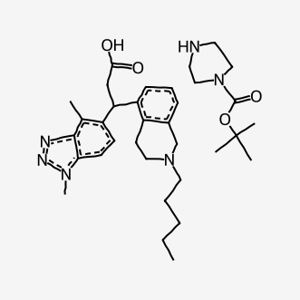 CC(C)(C)OC(=O)N1CCNCC1.CCCCCN1CCc2c(cccc2C(CC(=O)O)c2ccc3c(nnn3C)c2C)C1